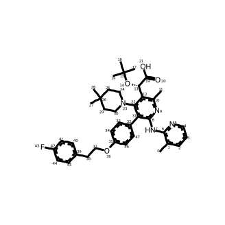 Cc1cccnc1Nc1nc(C)c([C@H](OC(C)(C)C)C(=O)O)c(N2CCC(C)(C)CC2)c1-c1ccc(OCCc2ccc(F)cc2)cc1